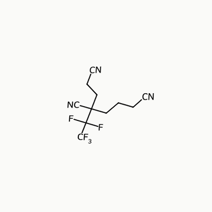 N#CCCCC(C#N)(CCC#N)C(F)(F)C(F)(F)F